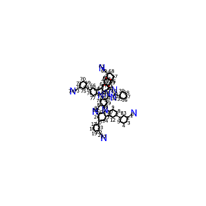 N#Cc1cccc(-c2ccc3c(c2)c2cc(-c4cccc(C#N)c4)ccc2n3-c2cc(-c3nc(-c4ccccc4)nc(-c4ccccc4)n3)c(-n3c4ccc(-c5cccc(C#N)c5)cc4c4cc(-c5cccc(C#N)c5)ccc43)cc2C#N)c1